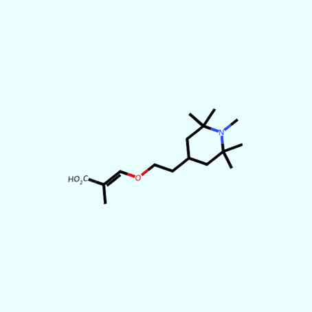 CC(=COCCC1CC(C)(C)N(C)C(C)(C)C1)C(=O)O